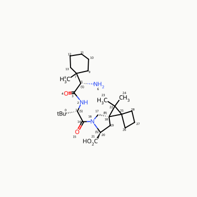 CC(C)(C)[C@H](NC(=O)[C@@H](N)C1(C)CCCCC1)C(=O)N1C[C@]2(C[C@H]1C(=O)O)C(C)(C)C21CCC1